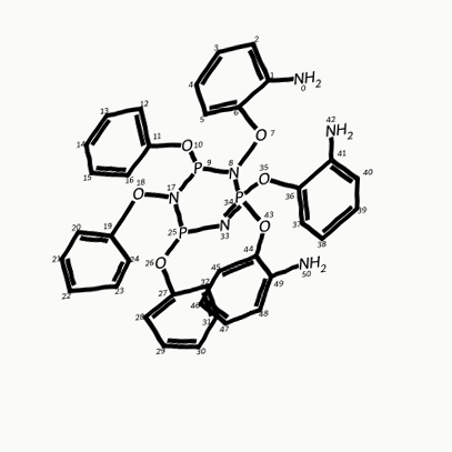 Nc1ccccc1ON1P(Oc2ccccc2)N(Oc2ccccc2)P(Oc2ccccc2)N=P1(Oc1ccccc1N)Oc1ccccc1N